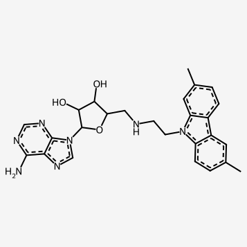 Cc1ccc2c(c1)c1ccc(C)cc1n2CCNCC1OC(n2cnc3c(N)ncnc32)C(O)C1O